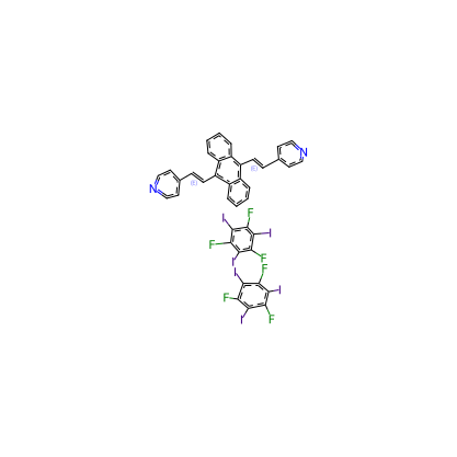 C(=C\c1c2ccccc2c(/C=C/c2ccncc2)c2ccccc12)/c1ccncc1.Fc1c(I)c(F)c(I)c(F)c1I.Fc1c(I)c(F)c(I)c(F)c1I